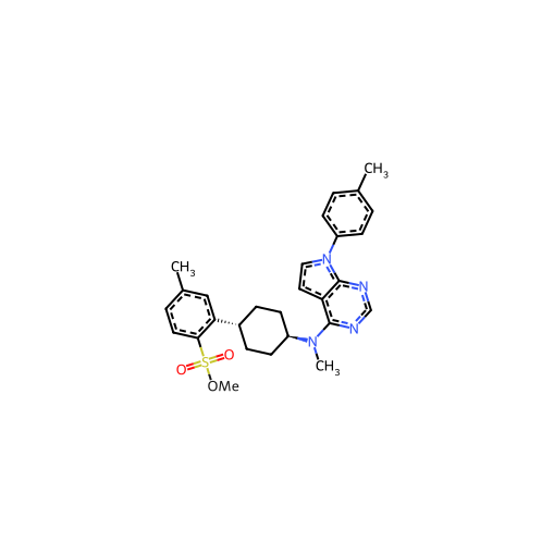 COS(=O)(=O)c1ccc(C)cc1[C@H]1CC[C@H](N(C)c2ncnc3c2ccn3-c2ccc(C)cc2)CC1